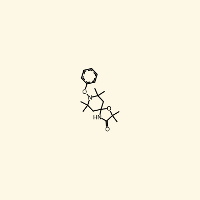 CC1(C)OC2(CC(C)(C)N(Oc3ccccc3)C(C)(C)C2)NC1=O